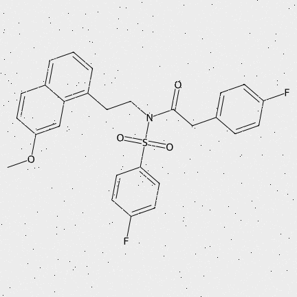 COc1ccc2cccc(CCN(C(=O)Cc3ccc(F)cc3)S(=O)(=O)c3ccc(F)cc3)c2c1